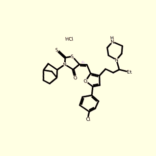 CCC(CCc1cc(-c2ccc(Cl)cc2)oc1/C=C1/SC(=S)N(C2CC3CCC2C3)C1=O)N1CCNCC1.Cl